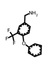 NCc1ccc(Oc2ccccc2)c(C(F)(F)F)c1